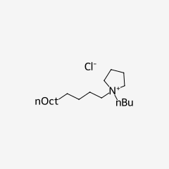 CCCCCCCCCCCC[N+]1(CCCC)CCCC1.[Cl-]